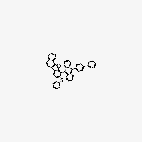 c1ccc(-c2ccc(-c3c4ccccc4c(-c4c5oc6c7ccccc7ccc6c5cc5c4sc4ccccc45)c4ccccc34)cc2)cc1